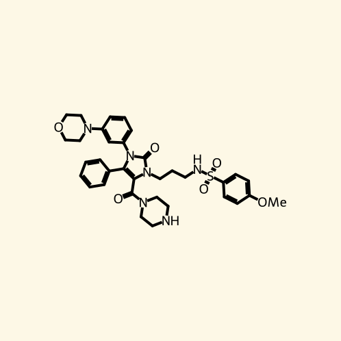 COc1ccc(S(=O)(=O)NCCCn2c(C(=O)N3CCNCC3)c(-c3ccccc3)n(-c3cccc(N4CCOCC4)c3)c2=O)cc1